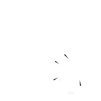 CC(=O)N[C@@H]1[C@@H](OCc2ccccc2)[C@@H](OCc2ccccc2)[C@]2(COCc3ccccc3)CC[C@H]1O2